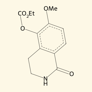 CCOC(=O)Oc1c(OC)ccc2c1CCNC2=O